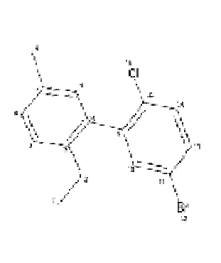 CCc1c[c]c(C)cc1-c1cc(Br)ccc1Cl